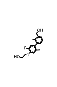 Cc1cc(OCCO)c(F)cc1-c1cccc(CO)c1C